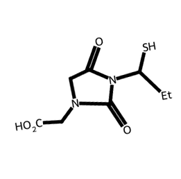 CCC(S)N1C(=O)CN(CC(=O)O)C1=O